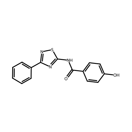 O=C(Nc1nc(-c2ccccc2)ns1)c1ccc(O)cc1